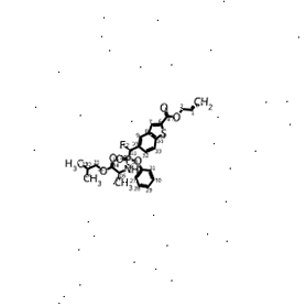 C=CCOC(=O)c1cc2cc([C@H](F)P(=O)(N[C@@H](C)C(=O)OCC(C)C)Oc3ccccc3)ccc2s1